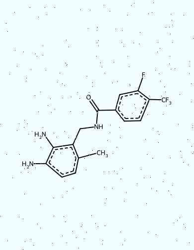 Cc1ccc(N)c(N)c1CNC(=O)c1ccc(C(F)(F)F)c(F)c1